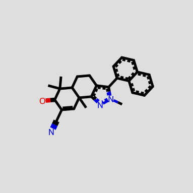 Cn1nc2c(c1-c1cccc3ccccc13)CCC1C(C)(C)C(=O)C(C#N)=CC21C